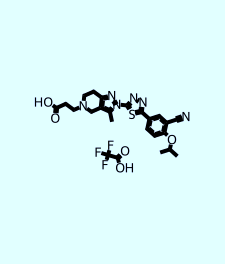 Cc1c2c(nn1-c1nnc(-c3ccc(OC(C)C)c(C#N)c3)s1)CCN(CCC(=O)O)C2.O=C(O)C(F)(F)F